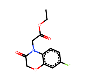 CCOC(=O)CN1C(=O)COc2cc(F)ccc21